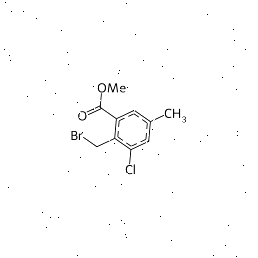 COC(=O)c1cc(C)cc(Cl)c1CBr